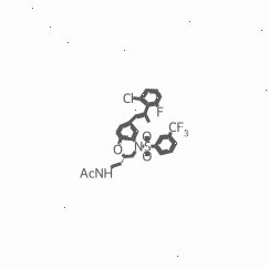 CC(=O)NCC[C@H]1CN(S(=O)(=O)c2cccc(C(F)(F)F)c2)c2cc(C=C(C)c3c(F)cccc3Cl)ccc2O1